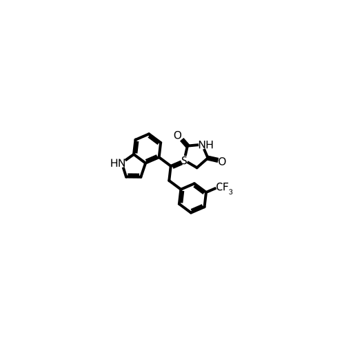 O=C1CS(=C(Cc2cccc(C(F)(F)F)c2)c2cccc3[nH]ccc23)C(=O)N1